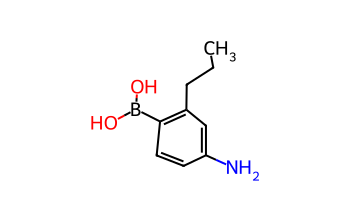 CCCc1cc(N)ccc1B(O)O